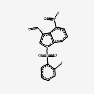 O=Cc1cn(S(=O)(=O)c2ccccc2F)c2cccc([N+](=O)[O-])c12